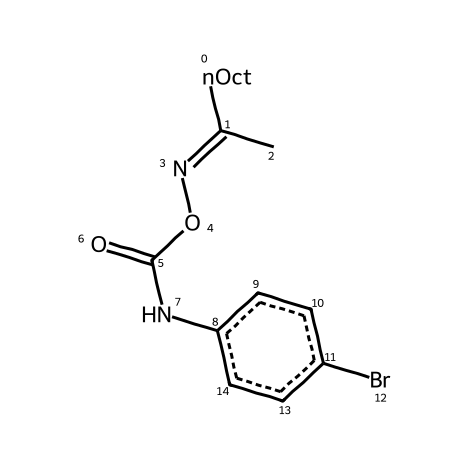 CCCCCCCCC(C)=NOC(=O)Nc1ccc(Br)cc1